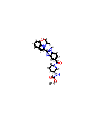 CC1COc2cccc3cc(-c4nc5cc(C(=O)N6CCC[C@@H](NC(=O)OC(C)(C)C)C6)ccc5n4C)n1c23